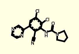 N#Cc1c(-c2cnccn2)cc(Cl)c(Cl)c1NC(=O)N1CCCC1